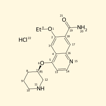 CCOc1cc2c(O[C@@H]3CCCNC3)ccnc2cc1C(N)=O.Cl